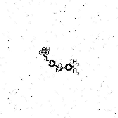 Cc1ccc(-c2cnc(-c3cc[n+](CCCS(=O)(=O)O)cc3)o2)cc1C